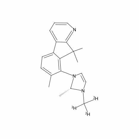 [2H]C([2H])([2H])N1C=CN(c2c(C)ccc3c2C(C)(C)c2ncccc2-3)[C@H]1C